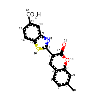 Cc1ccc2cc(-c3nc4cc(C(=O)O)ccc4s3)c(=O)oc2c1